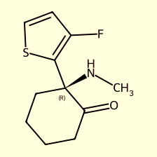 CN[C@]1(c2sccc2F)CCCCC1=O